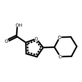 O=C(O)c1ccc(C2OCCCO2)o1